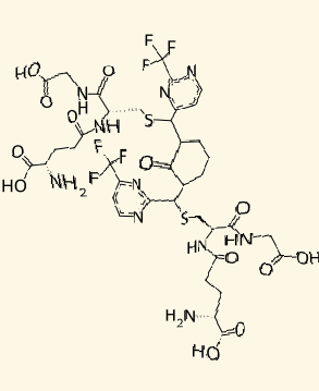 N[C@H](CCC(=O)N[C@@H](CSC(c1nccc(C(F)(F)F)n1)C1CCCC(C(SC[C@H](NC(=O)CC[C@H](N)C(=O)O)C(=O)NCC(=O)O)c2ccnc(C(F)(F)F)n2)C1=O)C(=O)NCC(=O)O)C(=O)O